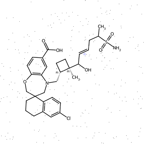 CC(C/C=C/C(O)[C@]1(C)CC[C@H]1CN1CC2(CCCc3cc(Cl)ccc32)COc2ccc(C(=O)O)cc21)S(N)(=O)=O